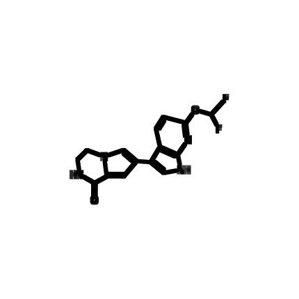 O=C1NCCn2cc(-c3c[nH]c4nc(OC(F)F)ccc34)cc21